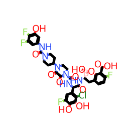 O=C(O)c1c(F)ccc2c1OB(O)[C@@H](NC(=O)C(NC(=O)N1CCN(C3CCN(C(=O)Nc4cc(O)c(F)c(F)c4)CC3)C(=O)C1=O)c1cc(F)c(O)c(O)c1Cl)C2